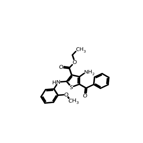 CCOC(=O)c1c(Nc2ccccc2OC)sc(C(=O)c2ccccc2)c1N